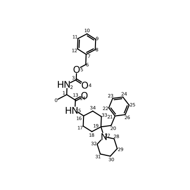 CC(NC(=O)OCc1ccccc1)C(=O)NC1CCC(Cc2ccccc2)(N2CCCCC2)CC1